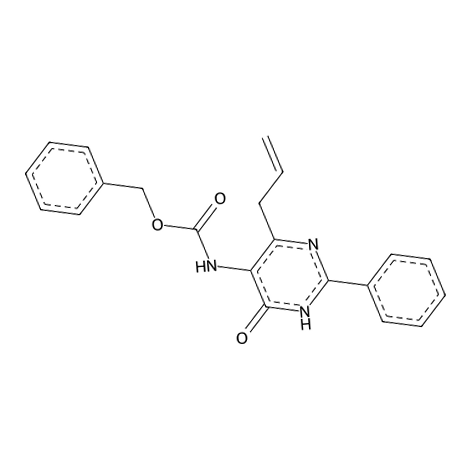 C=CCc1nc(-c2ccccc2)[nH]c(=O)c1NC(=O)OCc1ccccc1